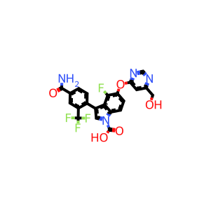 NC(=O)c1ccc(-c2cn(C(=O)O)c3ccc(Oc4cc(CO)ncn4)c(F)c23)c(C(F)(F)F)c1